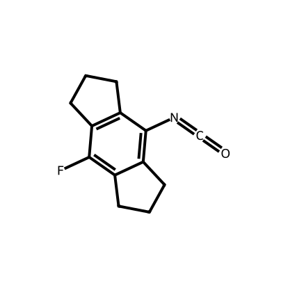 O=C=Nc1c2c(c(F)c3c1CCC3)CCC2